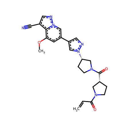 C=CC(=O)N1CC[C@@H](C(=O)N2CC[C@H](n3cc(-c4cc(OC)c5c(C#N)cnn5c4)cn3)C2)C1